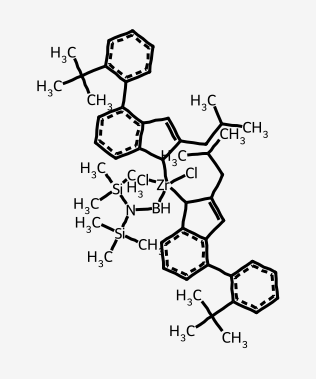 CC(C)CC1=Cc2c(-c3ccccc3C(C)(C)C)cccc2[CH]1[Zr]([Cl])([Cl])([BH]N([Si](C)(C)C)[Si](C)(C)C)[CH]1C(CC(C)C)=Cc2c(-c3ccccc3C(C)(C)C)cccc21